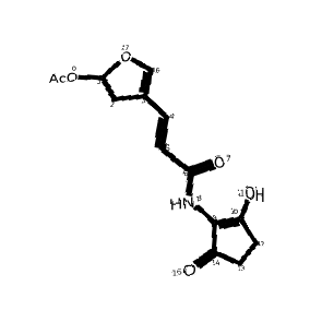 CC(=O)OC1CC(/C=C/C(=O)NC2=C(O)CCC2=O)=CO1